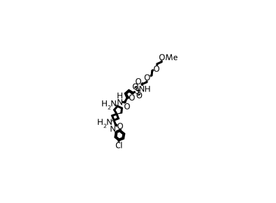 COCCOCCOCC(=O)NS(=O)(=O)c1ccc(C(=O)N[C@@]2(N)CC[C@]3(C2)C[C@](N)(c2nc4cc(Cl)ccc4o2)C3)o1